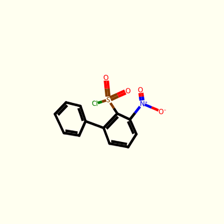 O=[N+]([O-])c1cccc(-c2ccccc2)c1S(=O)(=O)Cl